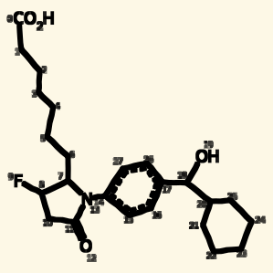 O=C(O)CCCCCCC1C(F)CC(=O)N1c1ccc(C(O)C2CCCCC2)cc1